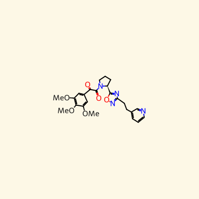 COc1cc(C(=O)C(=O)N2CCC[C@H]2c2nc(CCc3cccnc3)no2)cc(OC)c1OC